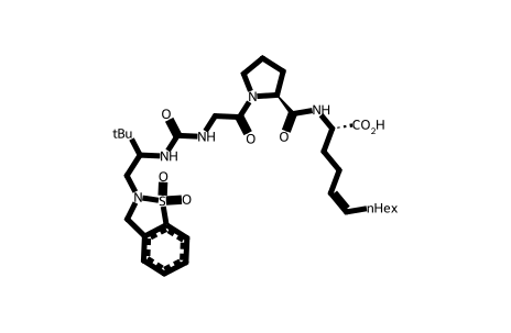 CCCCCC/C=C\CC[C@H](NC(=O)[C@@H]1CCCN1C(=O)CNC(=O)NC(CN1Cc2ccccc2S1(=O)=O)C(C)(C)C)C(=O)O